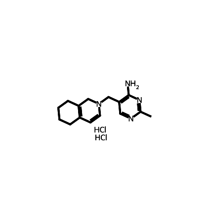 Cc1ncc(CN2C=CC3=C(CCCC3)C2)c(N)n1.Cl.Cl